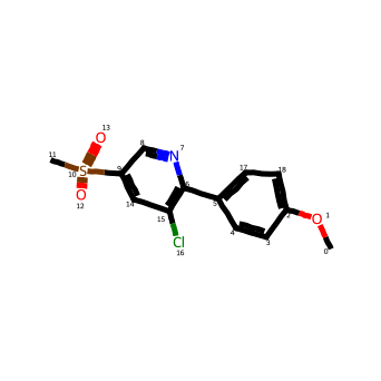 COc1ccc(-c2ncc(S(C)(=O)=O)cc2Cl)cc1